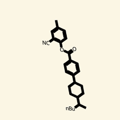 CCCCC(C)C1CCC(c2ccc(C(=O)Oc3ccc(C)cc3C#N)cc2)CC1